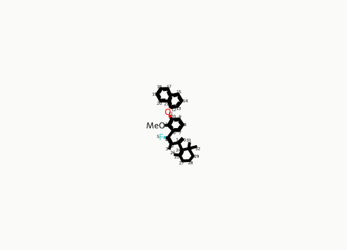 C=C(C(C)=C(F)c1cccc(Oc2cccc3ccccc23)c1OC)C1=C(C)CCCC1(C)C